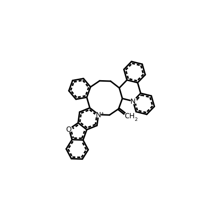 C=C1C[n+]2cc3c(cc2-c2ccccc2CCC2c4ccccc4-c4cccc[n+]4C12)oc1ccccc13